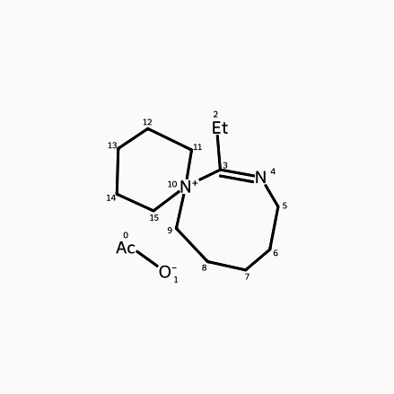 CC(=O)[O-].CC/C1=N/CCCCC[N+]12CCCCC2